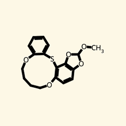 COC1Oc2ccc3c(c2O1)Sc1ccccc1OCCCCO3